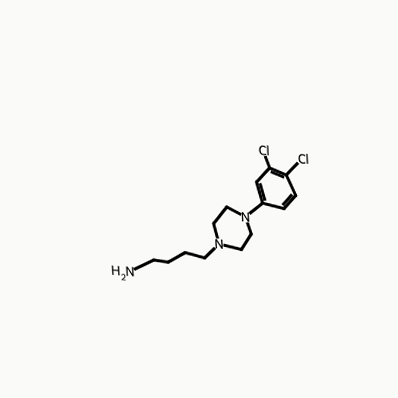 NCCCCN1CCN(c2ccc(Cl)c(Cl)c2)CC1